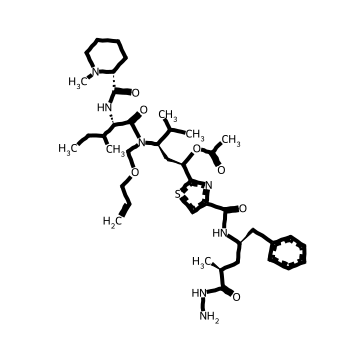 C=CCOCN(C(=O)[C@@H](NC(=O)[C@H]1CCCCN1C)C(C)CC)[C@H](C[C@@H](OC(C)=O)c1nc(C(=O)N[C@@H](Cc2ccccc2)C[C@H](C)C(=O)NN)cs1)C(C)C